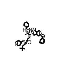 C[C@@H](OCc1ccccc1)[C@H](CCC(=O)N(CCC(C)(C)C)Cc1ccncc1)N1Cc2cc(Oc3ccccc3)ncc2N=C1N